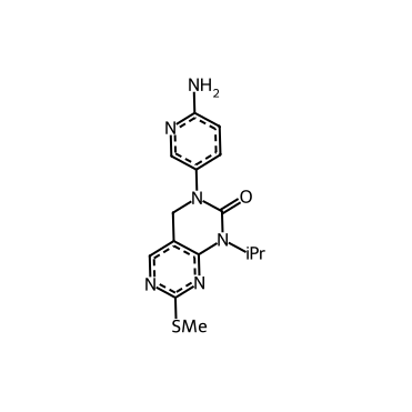 CSc1ncc2c(n1)N(C(C)C)C(=O)N(c1ccc(N)nc1)C2